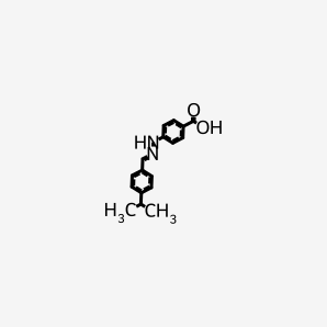 CC(C)c1ccc(C=NNc2ccc(C(=O)O)cc2)cc1